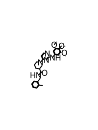 COc1cc(Nc2nccc(N3CCCC(C(=O)NCc4ccccc4C)C3)n2)cc(OC)c1OC